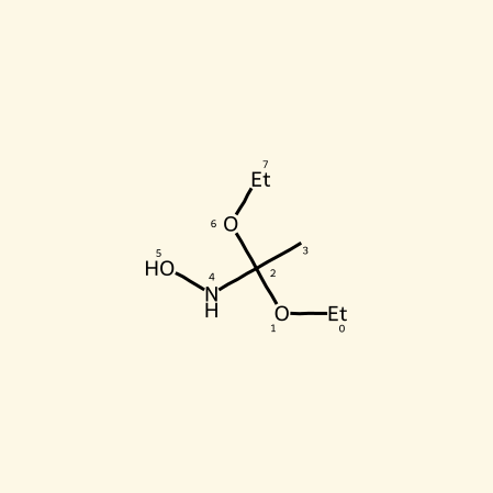 CCOC(C)(NO)OCC